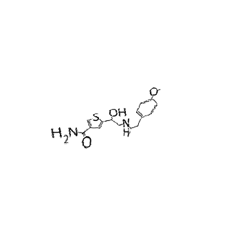 COc1ccc(CC(C)NCC(O)c2cc(C(N)=O)cs2)cc1